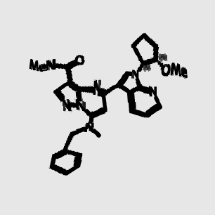 CNC(=O)c1cnn2c(N(C)Cc3ccccc3)cc(-c3cn([C@H]4CCC[C@@H]4OC)c4ncccc34)nc12